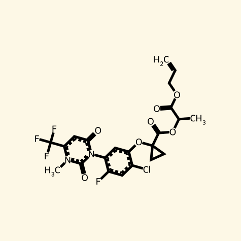 C=CCOC(=O)C(C)OC(=O)C1(Oc2cc(-n3c(=O)cc(C(F)(F)F)n(C)c3=O)c(F)cc2Cl)CC1